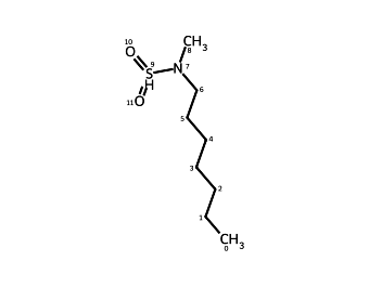 CCCCCCCN(C)[SH](=O)=O